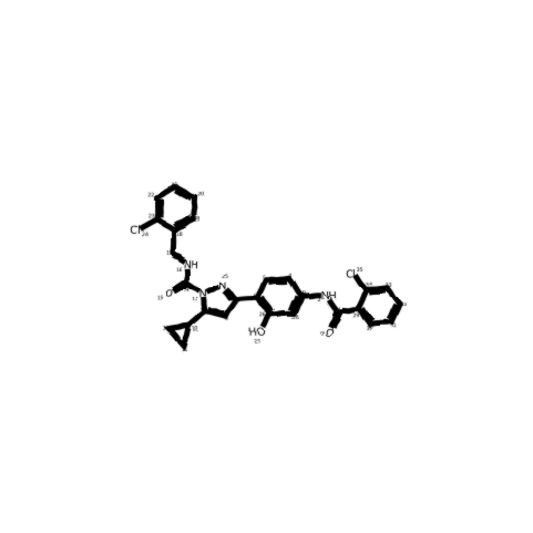 O=C(Nc1ccc(-c2cc(C3CC3)n(C(=O)NCc3ccccc3Cl)n2)c(O)c1)c1ccccc1Cl